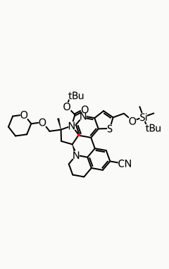 CC(C)(C)OC(=O)N1C[C@@H](N2CCCc3cc(C#N)cc(-c4ccnc5cc(CO[Si](C)(C)C(C)(C)C)sc45)c32)C[C@]1(C)COC1CCCCO1